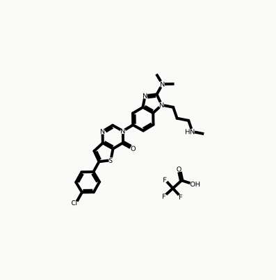 CNCCCn1c(N(C)C)nc2cc(-n3cnc4cc(-c5ccc(Cl)cc5)sc4c3=O)ccc21.O=C(O)C(F)(F)F